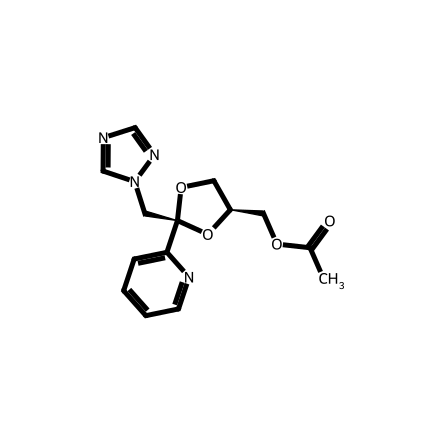 CC(=O)OC[C@@H]1CO[C@@](Cn2cncn2)(c2ccccn2)O1